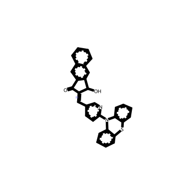 O=C1/C(=C/c2ccc(N3c4ccccc4Sc4ccccc43)nc2)C(O)c2cc3ccccc3cc21